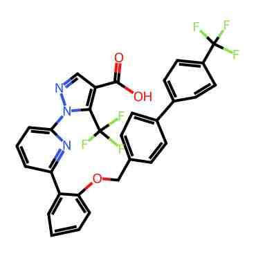 O=C(O)c1cnn(-c2cccc(-c3ccccc3OCc3ccc(-c4ccc(C(F)(F)F)cc4)cc3)n2)c1C(F)(F)F